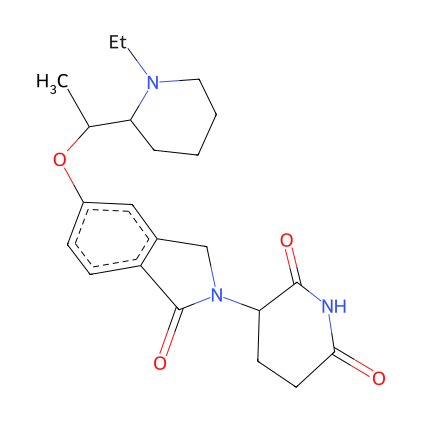 CCN1CCCCC1C(C)Oc1ccc2c(c1)CN(C1CCC(=O)NC1=O)C2=O